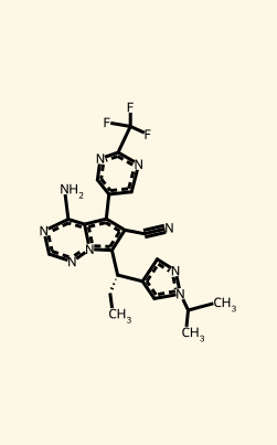 CC[C@@H](c1cnn(C(C)C)c1)c1c(C#N)c(-c2cnc(C(F)(F)F)nc2)c2c(N)ncnn12